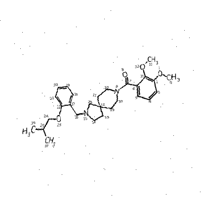 COc1cccc(C(=O)N2CCC3(CCN(Cc4ccccc4OCC(C)C)C3)CC2)c1OC